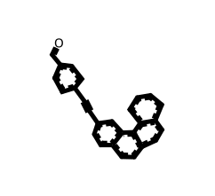 O=Cc1ccc(C#Cc2ccc3ccc4ccc5ccccc5c4c3c2)cc1